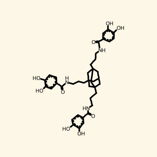 O=C(NCCCC12CC3CC(CCCNC(=O)c4ccc(O)c(O)c4)(C1)CC(CCCNC(=O)c1ccc(O)c(O)c1)(C3)C2)c1ccc(O)c(O)c1